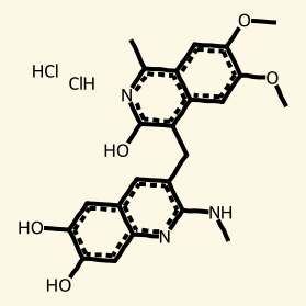 CNc1nc2cc(O)c(O)cc2cc1Cc1c(O)nc(C)c2cc(OC)c(OC)cc12.Cl.Cl